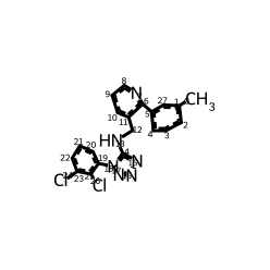 Cc1cccc(-c2ncccc2CNc2nnnn2-c2cccc(Cl)c2Cl)c1